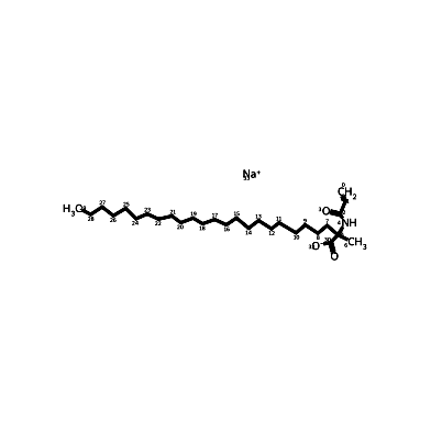 C=CC(=O)NC(C)(CCCCCCCCCCCCCCCCCCCCCCC)C(=O)[O-].[Na+]